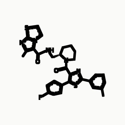 Cc1cccc(-c2nc(C(=O)N3CCCC[C@H]3CNC(=O)c3c(C)nc4sccn34)c(-c3ccc(F)cc3)s2)c1